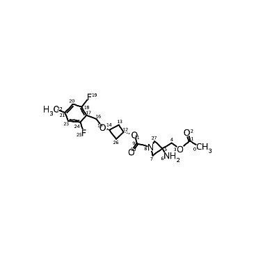 CC(=O)OCC1(N)CN(C(=O)O[C@H]2C[C@@H](OCc3c(F)cc(C)cc3F)C2)C1